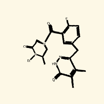 CCN1C(=O)CN(C(=O)c2cc(Cc3n[nH]c(=O)c(C)c3C)ccc2F)CC1C